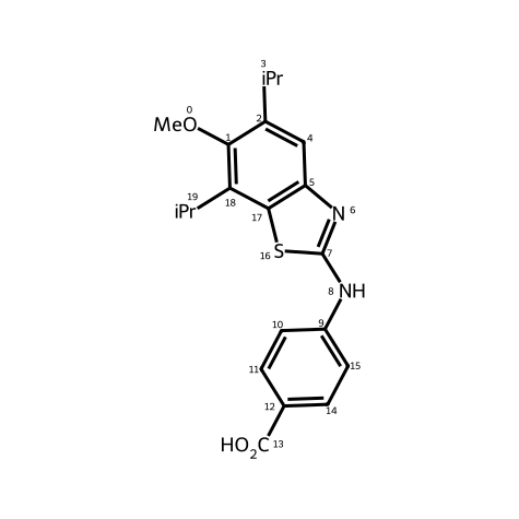 COc1c(C(C)C)cc2nc(Nc3ccc(C(=O)O)cc3)sc2c1C(C)C